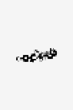 CC(C)[C@@H](NC(=O)c1ccc2cccnc2n1)C(=O)N1CC[C@H](c2ccc(Cl)cc2)C(C)(C)C1